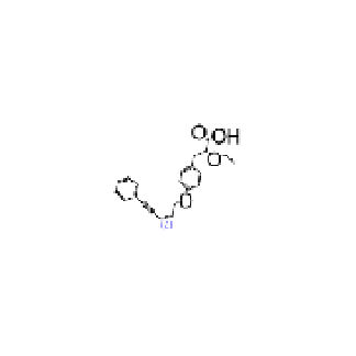 CCOC(Cc1ccc(OC/C=C\C#Cc2ccccc2)cc1)C(=O)O